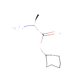 C[C@H](N)C(=O)OC1CCC1.Cl